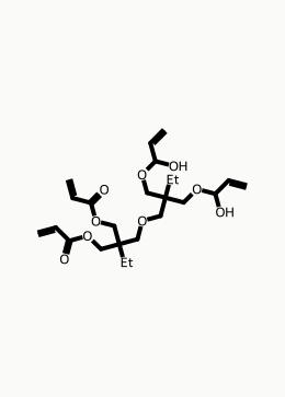 C=CC(=O)OCC(CC)(COCC(CC)(COC(O)C=C)COC(O)C=C)COC(=O)C=C